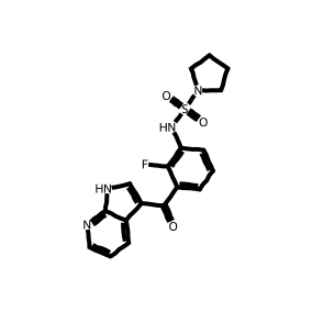 O=C(c1cccc(NS(=O)(=O)N2CCCC2)c1F)c1c[nH]c2ncccc12